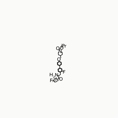 CC(C)OC(=O)N1CCC(COc2ccc(-c3ccc(CC(N)C(=O)N4CC[C@H](F)C4)c(F)c3)cc2)CC1